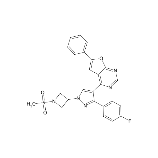 CS(=O)(=O)N1CC(n2cc(-c3ncnc4oc(-c5ccccc5)cc34)c(-c3ccc(F)cc3)n2)C1